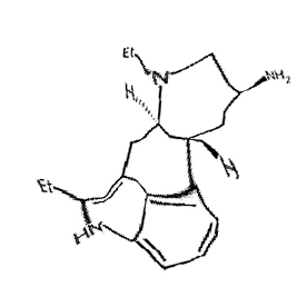 CCc1[nH]c2cccc3c2c1C[C@@H]1[C@@H]3C[C@H](N)CN1CC